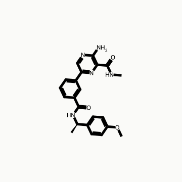 CNC(=O)c1nc(-c2cccc(C(=O)N[C@H](C)c3ccc(OC)cc3)c2)cnc1N